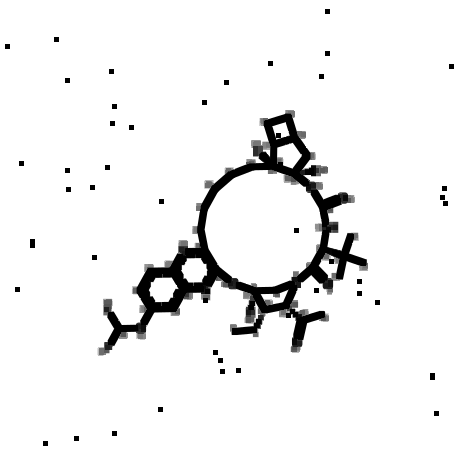 CC[C@@H]1[C@@H]2CN(C(=O)[C@H](C(C)(C)C)NC(=O)O[C@@H]3CC4CCC4[C@H]3CCCCCc3nc4ccc(OC(F)F)cc4nc3O2)[C@@H]1C(C)=O